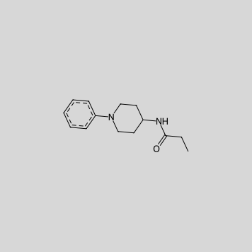 CCC(=O)NC1CCN(c2ccccc2)CC1